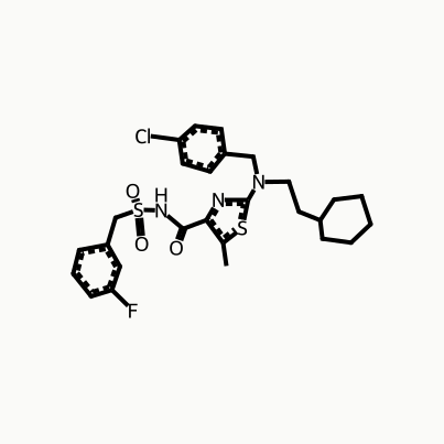 Cc1sc(N(CCC2CCCCC2)Cc2ccc(Cl)cc2)nc1C(=O)NS(=O)(=O)Cc1cccc(F)c1